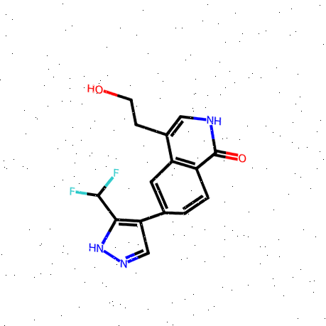 O=c1[nH]cc(CCO)c2cc(-c3cn[nH]c3C(F)F)ccc12